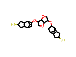 SC1CC2C3CC(OC4COC5C(OC6CC7CC6C6CC(S)CC76)COC45)C(C3)C2C1